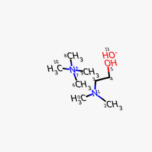 CN(C)CCO.C[N+](C)(C)C.[OH-]